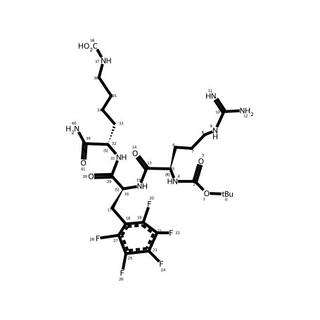 CC(C)(C)OC(=O)N[C@H](CCCNC(=N)N)C(=O)N[C@@H](Cc1c(F)c(F)c(F)c(F)c1F)C(=O)N[C@@H](CCCCNC(=O)O)C(N)=O